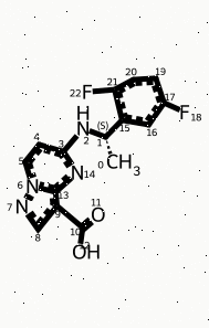 C[C@H](Nc1ccn2ncc(C(=O)O)c2n1)c1cc(F)ccc1F